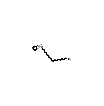 CCCCCCCC/C=C\CCCCCCCCOP(=O)(O)Oc1ccccc1